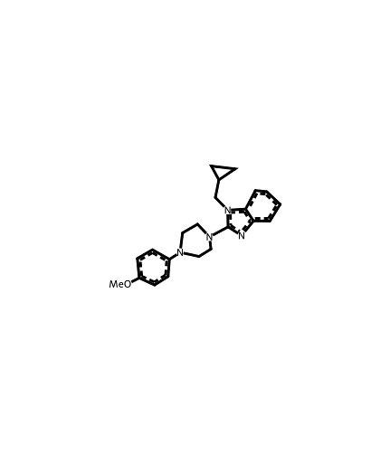 COc1ccc(N2CCN(c3nc4ccccc4n3CC3CC3)CC2)cc1